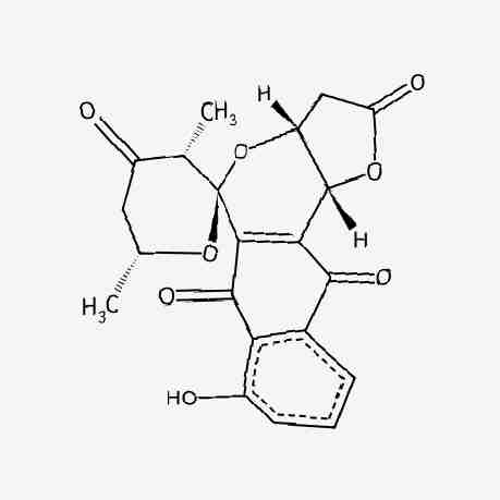 C[C@@H]1CC(=O)[C@H](C)[C@]2(O1)O[C@@H]1CC(=O)O[C@@H]1C1=C2C(=O)c2c(O)cccc2C1=O